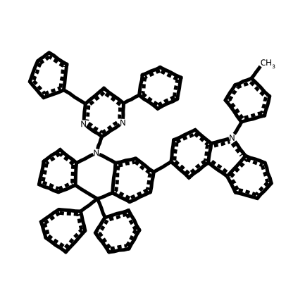 Cc1ccc(-n2c3ccccc3c3cc(-c4ccc5c(c4)N(c4nc(-c6ccccc6)cc(-c6ccccc6)n4)c4ccccc4C5(c4ccccc4)c4ccccc4)ccc32)cc1